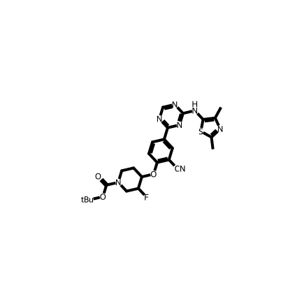 Cc1nc(C)c(Nc2ncnc(-c3ccc(OC4CCN(C(=O)OC(C)(C)C)CC4F)c(C#N)c3)n2)s1